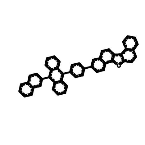 c1ccc2cc(-c3c4ccccc4c(-c4ccc(-c5ccc6c(ccc7c6oc6ccc8ccccc8c67)c5)cc4)c4ccccc34)ccc2c1